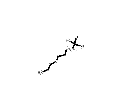 CC(C)(O)O.CCCOCCC